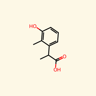 Cc1c(O)cccc1C(C)C(=O)O